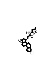 Cc1cc(NC(=O)CC[C@@H]2CC(=O)[C@@]3(C)CCC4c5ccc(Cl)cc5CCC4C23)no1